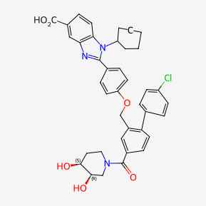 O=C(O)c1ccc2c(c1)nc(-c1ccc(OCc3cc(C(=O)N4CC[C@H](O)[C@H](O)C4)ccc3-c3ccc(Cl)cc3)cc1)n2C1CCCCC1